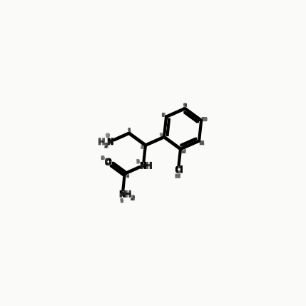 NCC(NC(N)=O)c1ccccc1Cl